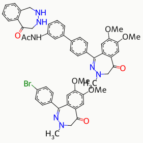 COc1cc2c(cc1OC)C(c1ccc(-c3cccc(NC(C)=O)c3)cc1)=NN(C)CC2=O.COc1cc2c(cc1OC)C(c1ccc(Br)cc1)=NN(C)CC2=O.O=C1CNNCc2ccccc21